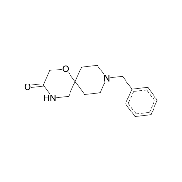 O=C1COC2(CCN(Cc3ccccc3)CC2)CN1